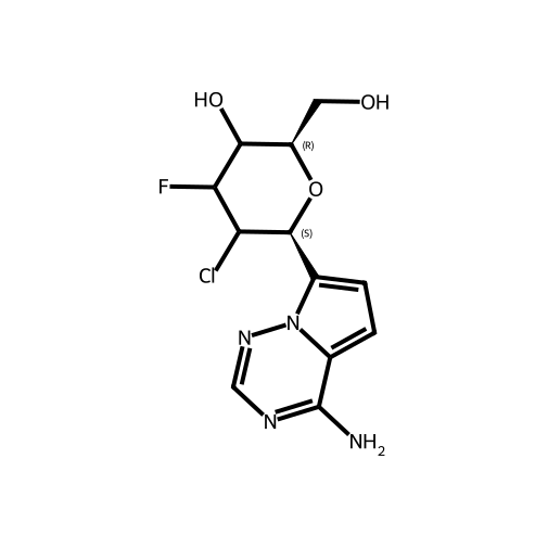 Nc1ncnn2c([C@@H]3O[C@H](CO)C(O)C(F)C3Cl)ccc12